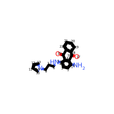 Nc1ccc(NCCCn2cccc2)c2c1C(=O)c1ccccc1C2=O